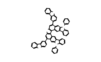 c1ccc(-n2c3ccccc3c3cc4c(cc32)c(-c2ccc3oc5ccccc5c3c2)cc2oc3cc(-c5ccc6oc7ccccc7c6c5)c5cc6c(cc5c3c24)c2ccccc2n6-c2ccccc2)cc1